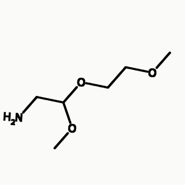 COCCOC(CN)OC